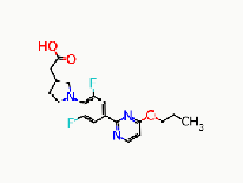 CCCOc1ccnc(-c2cc(F)c(N3CCC(CC(=O)O)C3)c(F)c2)n1